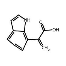 C=C(C(=O)O)c1cccc2cc[nH]c12